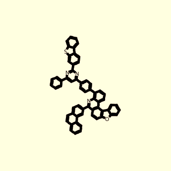 c1ccc(-c2cc(-c3ccc(-c4cccc5c4nc(-c4ccc6ccc7ccccc7c6c4)c4ccc6oc7ccccc7c6c45)cc3)nc(-c3ccc4c(c3)sc3ccccc34)n2)cc1